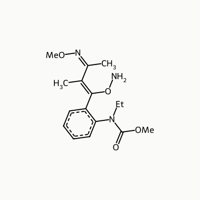 CCN(C(=O)OC)c1ccccc1/C(ON)=C(C)/C(C)=N\OC